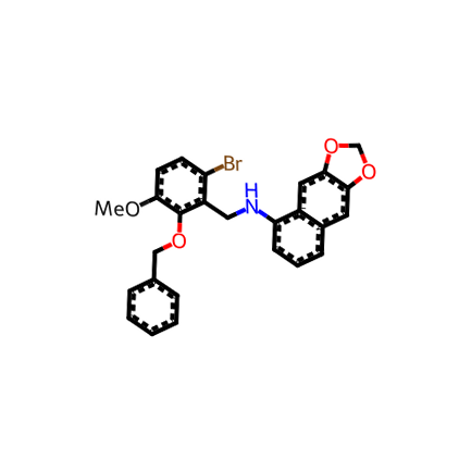 COc1ccc(Br)c(CNc2cccc3cc4c(cc23)OCO4)c1OCc1ccccc1